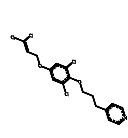 ClC(Cl)=CCOc1cc(Cl)c(OCCCc2ccncc2)c(Cl)c1